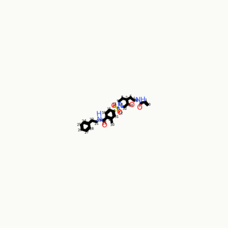 C=CC(=O)NC1CC2CCN(S(=O)(=O)c3ccc(C(=O)NCCc4ccccc4)c(C)c3)CC2O1